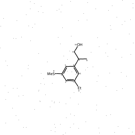 CCc1cc(SC)cc([C](C)CO)c1